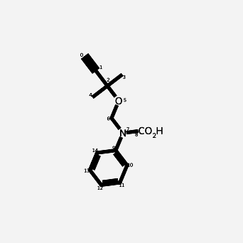 C#CC(C)(C)OCN(C(=O)O)c1ccccc1